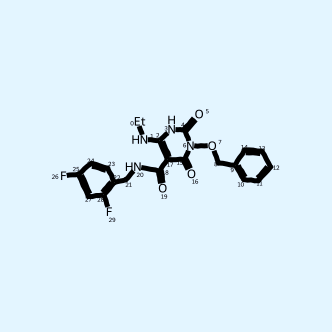 CCNc1[nH]c(=O)n(OCc2ccccc2)c(=O)c1C(=O)NCc1ccc(F)cc1F